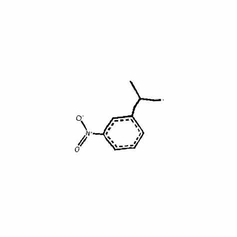 [CH2]C(C)c1cccc([N+](=O)[O-])c1